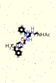 CC(=O)NCCNc1cc(NC(=O)CN2CCN(/C(C)=C\c3ccccc3)CC2)nc(-c2ccccc2)n1